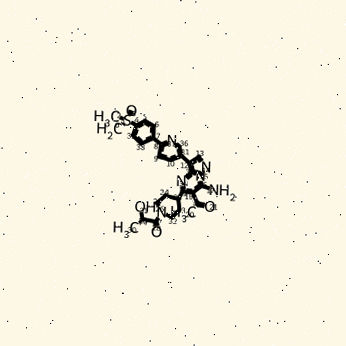 C=S(C)(=O)c1ccc(-c2ccc(-c3cnn4c(N)c(C(C)=O)c(C5CCN(C(=O)[C@@H](C)O)CC5)nc34)cn2)cc1